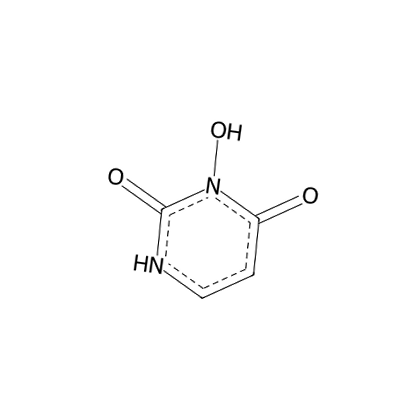 O=c1cc[nH]c(=O)n1O